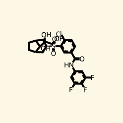 O=C(Nc1cc(F)c(F)c(F)c1)c1ccc(Cl)c(S(=O)(=O)[C@H]2CC3CCC(C2)[C@@]3(O)C(O)CO)c1